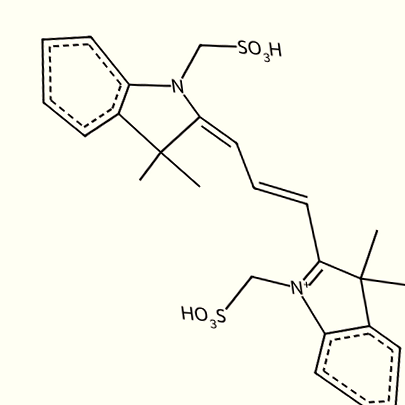 CC1(C)C(=CC=CC2=[N+](CS(=O)(=O)O)c3ccccc3C2(C)C)N(CS(=O)(=O)O)c2ccccc21